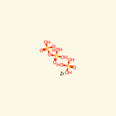 O=P(O)(O)O.O=P(O)(O)OP(=O)(O)O.[Zr]